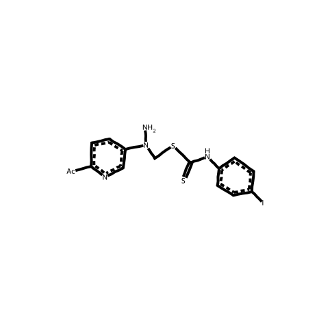 CC(=O)c1ccc(N(N)CSC(=S)Nc2ccc(I)cc2)cn1